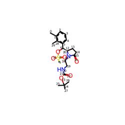 Cc1cccc(C(OS(C)(=O)=O)[C@H]2CCC(=O)N2CCNC(=O)OC(C)(C)C)c1C